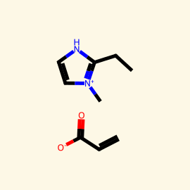 C=CC(=O)[O-].CCc1[nH]cc[n+]1C